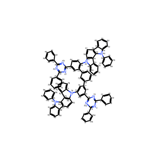 c1ccc(-c2nc(-c3ccccc3)nc(-c3cc(-c4cccc(-c5cc(-c6nc(-c7ccccc7)nc(-c7ccccc7)n6)ccc5-n5c6ccccc6c6c5ccc5c7ccccc7n(-c7ccccc7)c56)c4)cc(-n4c5ccccc5c5c4ccc4c6ccccc6n(-c6ccccc6)c45)c3)n2)cc1